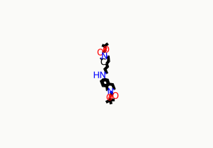 CC(C)OC(=O)N1CCC(CCCNc2ccc3c(c2)CCN(C(=O)OC(C)(C)C)C3)CC1